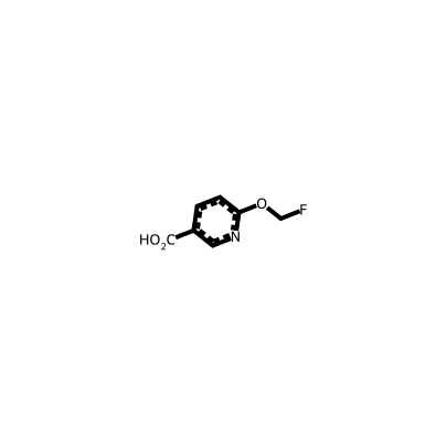 O=C(O)c1ccc(OCF)nc1